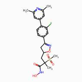 Cc1cc(-c2ccc(C3=NOC(CC(C)(C(=O)NO)S(C)(=O)=O)C3)cc2F)cc(C)n1